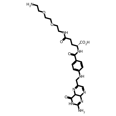 NCCOCCOCCNC(=O)CC[C@@H](NC(=O)c1ccc(NCC2=NC3C(=O)NC(N)=NC3N=C2)cc1)C(=O)O